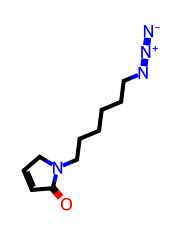 [N-]=[N+]=NCCCCCCN1CC=CC1=O